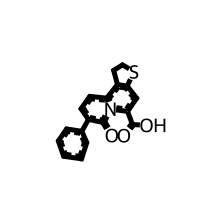 O=C(O)c1cc2c(c3ccc(-c4ccccc4)c(=O)n13)CCS2